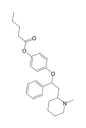 CCCCC(=O)Oc1ccc(OC(CC2CCCCN2C)c2ccccc2)cc1